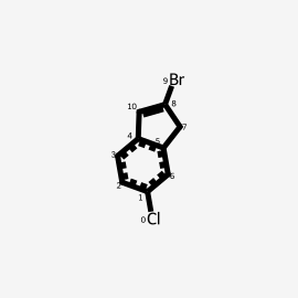 Clc1ccc2c(c1)CC(Br)=C2